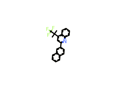 CC(C)(c1cc(-c2ccc3ccccc3c2)nc2ccccc12)C(F)(F)F